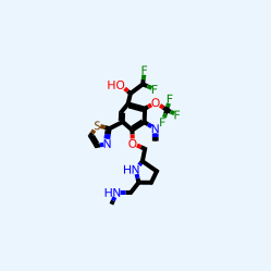 C=Nc1c(OCC2CCC(CNC)N2)c(-c2nccs2)cc(C(O)C(F)F)c1OC(F)(F)F